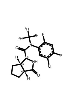 [2H]C([2H])([2H])N(C(=O)[C@H]1NC(=O)[C@@H]2CCC[C@H]12)c1cc(Cl)c(F)cc1F